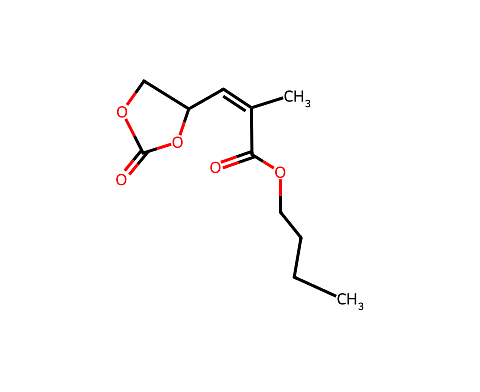 CCCCOC(=O)C(C)=CC1COC(=O)O1